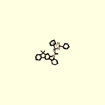 C=C(/N=C(\N=C(/N)c1ccccc1)c1ccccc1)n1c2c(c3cc4c(cc31)C(C)(C)c1ccccc1-4)CCC=C2